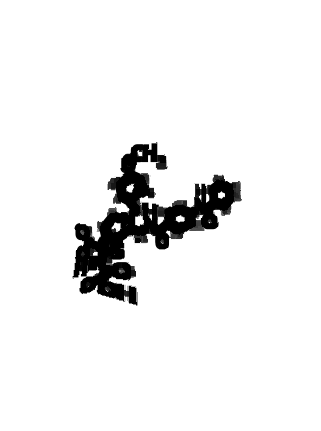 COc1ccc(CN2CCc3c(sc(NC(=O)C(=O)O)c3C(=O)O)C2CNC(=O)c2ccc(NC(=O)c3ccccc3)cc2)cc1